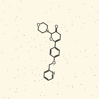 O=C1CC=C(c2ccc(OCc3ccccn3)cc2)OC1N1CCOCC1